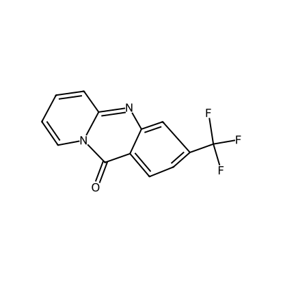 O=c1c2ccc(C(F)(F)F)cc2nc2ccccn12